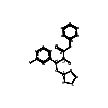 Cc1cccc([C@@H](CN2CCCC2)N(C)C(=O)Cc2ccccc2)c1